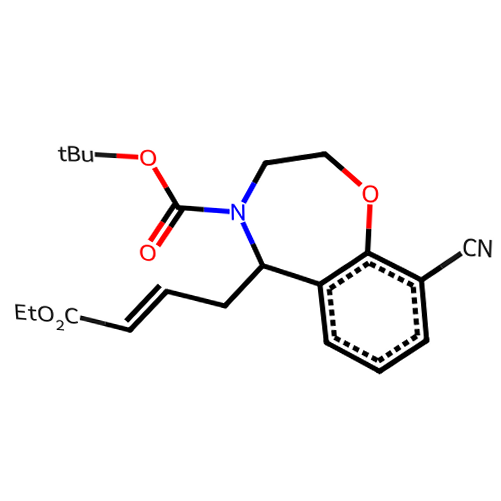 CCOC(=O)/C=C/CC1c2cccc(C#N)c2OCCN1C(=O)OC(C)(C)C